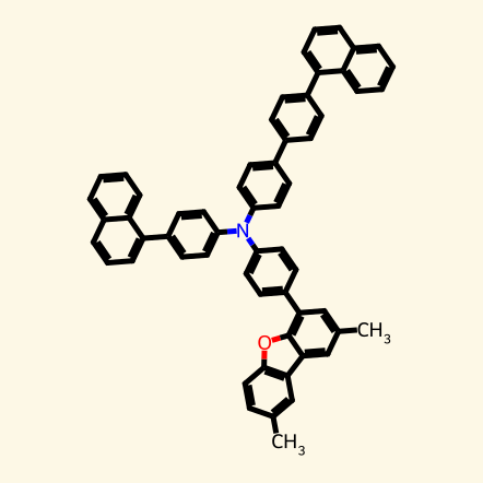 Cc1ccc2oc3c(-c4ccc(N(c5ccc(-c6ccc(-c7cccc8ccccc78)cc6)cc5)c5ccc(-c6cccc7ccccc67)cc5)cc4)cc(C)cc3c2c1